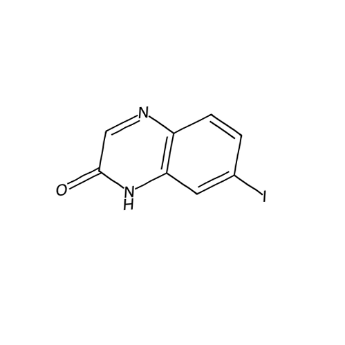 O=c1cnc2ccc(I)cc2[nH]1